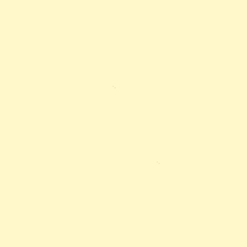 c1ccc(C(c2cc(-c3ccc4c(c3)c3c5ccccc5c5ccccc5c3n4-c3ccccc3)cc(N(c3ccccc3)c3ccc4ccccc4c3)c2)c2ccc3ccccc3c2)cc1